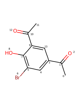 CC(=O)c1cc(Br)c(O)c(C(C)=O)c1